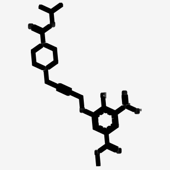 COC(=O)c1cc(OCC#CCN2CCN(C(=O)OC(C)C)CC2)c(Cl)c([N+](=O)[O-])c1